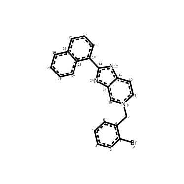 Brc1ccccc1Cn1ccc2nc(-c3cccc4ccccc34)nc-2c1